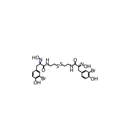 O=C(NCCSSCCNC(=O)/C(Cc1ccc(O)c(Br)c1)=N/O)/C(Cc1ccc(O)c(Br)c1)=N/O